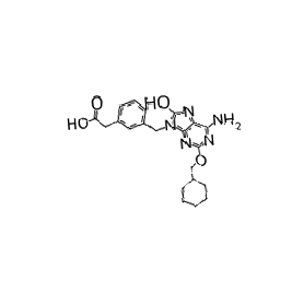 Nc1nc(OCC2CCCCC2)nc2c1nc(O)n2Cc1cccc(CC(=O)O)c1